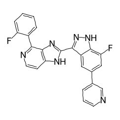 Fc1ccccc1-c1nccc2[nH]c(-c3n[nH]c4c(F)cc(-c5cccnc5)cc34)nc12